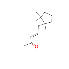 CC(=O)C=CCC1(C)CCCC1(C)C